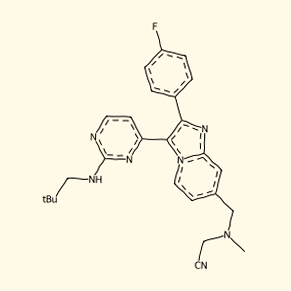 CN(CC#N)Cc1ccn2c(-c3ccnc(NCC(C)(C)C)n3)c(-c3ccc(F)cc3)nc2c1